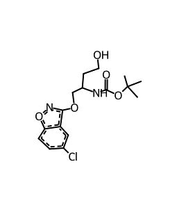 CC(C)(C)OC(=O)NC(CCO)COc1noc2ccc(Cl)cc12